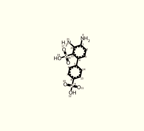 Nc1ccc(-c2ccc(S(=O)(=O)O)cc2)c(S(=O)(=O)O)c1N